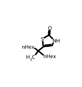 CCCCCCC(C)(CCCCCC)c1c[nH]c(=O)s1